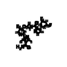 Cc1nn(-c2cc(OC3CN(C(=O)N4N=CC[C@H]4c4cc(F)cc(F)c4)C3)c(F)cn2)c(C)c1C(N)=O